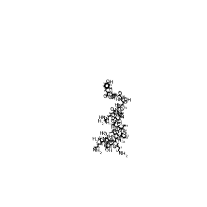 CC[C@H](C)[C@H](NC(=O)[C@H](CCCCN)NC(=O)[C@H](CC(=O)O)NC(=O)[C@H](CO)NC(=O)[C@@H](N)CCCCN)C(=O)N[C@H](C(=O)N[C@H](C(=O)N[C@@H](C)C(=O)N[C@@H](Cc1c[nH]cn1)C(=O)N[C@@H](CCCNC(=N)N)C(=O)NCC(=O)N[C@@H](C)C(=O)N[C@@H](CO)C(=O)NCC(=O)N[C@@H](Cc1ccc(O)cc1)C(=O)O)[C@@H](C)CC)[C@@H](C)CC